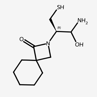 NC(O)[C@H](CS)N1CC2(CCCCC2)C1=O